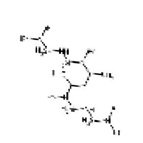 CCN(CC)[SiH2]N[SiH2]N(CC)C(C)CC(C)N([SiH2]N[SiH2]N(C(C)C)C(C)C)C(C)C